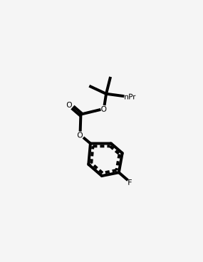 CCCC(C)(C)OC(=O)Oc1ccc(F)cc1